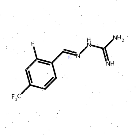 N=C(N)N/N=C/c1ccc(C(F)(F)F)cc1F